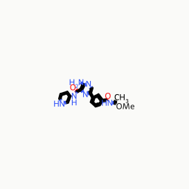 COC(C)NC(=O)c1cccc(-c2cnc(N)c(C(=O)N[C@H]3CCCNC3)n2)c1